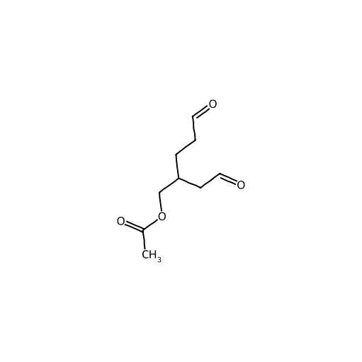 CC(=O)OCC(CC=O)CCC=O